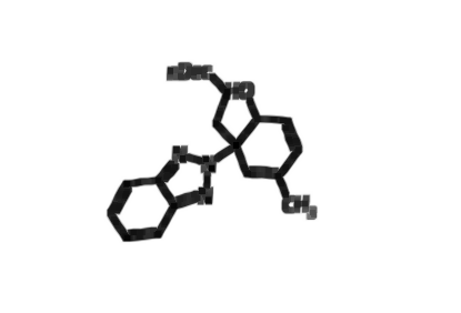 CCCCCCCCCCCCC1(n2nc3ccccc3n2)C=C(C)C=CC1O